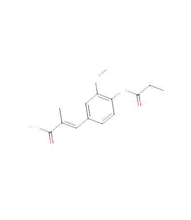 CCC(=O)Oc1ccc(/C=C(\C)C(=O)O)cc1OC